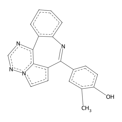 Cc1cc(C2=Nc3ccccc3-c3ncnn4ccc2c34)ccc1O